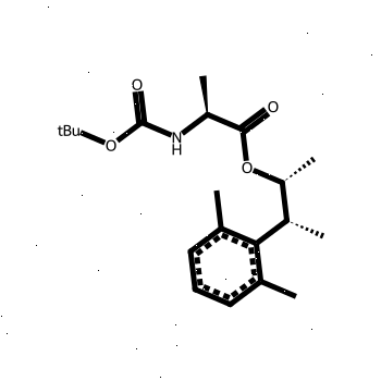 Cc1cccc(C)c1[C@@H](C)[C@@H](C)OC(=O)[C@H](C)NC(=O)OC(C)(C)C